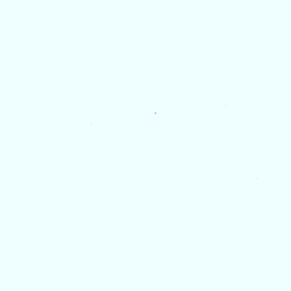 CC(C)CCC[C@@H](C)C1CCC2C3CC=C4C[C@@H](C)CC[C@]4(C)C3CC[C@@]21C